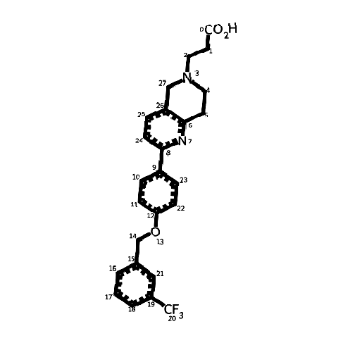 O=C(O)CCN1CCc2nc(-c3ccc(OCc4cccc(C(F)(F)F)c4)cc3)ccc2C1